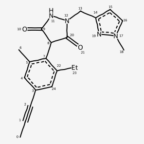 CC#Cc1cc(C)c(C2C(=O)NN(Cc3ccn(C)n3)C2=O)c(CC)c1